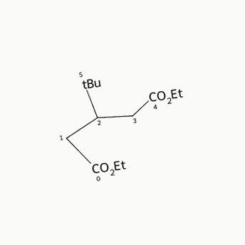 CCOC(=O)CC(CC(=O)OCC)C(C)(C)C